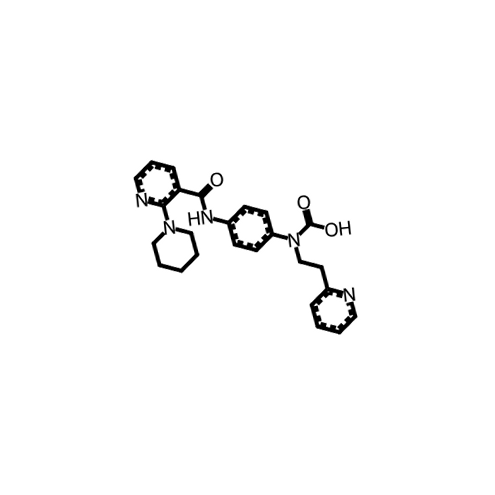 O=C(Nc1ccc(N(CCc2ccccn2)C(=O)O)cc1)c1cccnc1N1CCCCC1